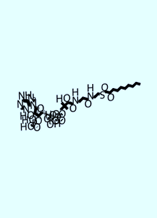 CCCCCCCCC(=O)C(=O)SCCNC(=O)CCNC(=O)C(O)C(C)(C)COP(=O)(O)OP(=O)(O)OC[C@H]1O[C@@H](n2cnc3c(N)ncnc32)[C@H](O)[C@@H]1OP(=O)(O)O